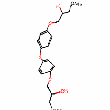 COCC(O)COc1ccc(Oc2ccc(OCC(O)COC)cc2)cc1